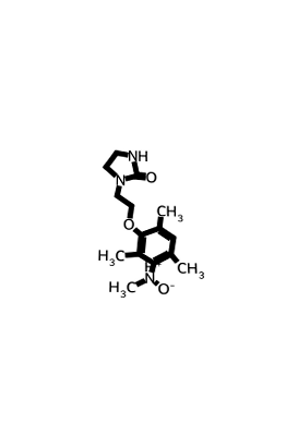 Cc1cc(C)c([NH+](C)[O-])c(C)c1OCCN1CCNC1=O